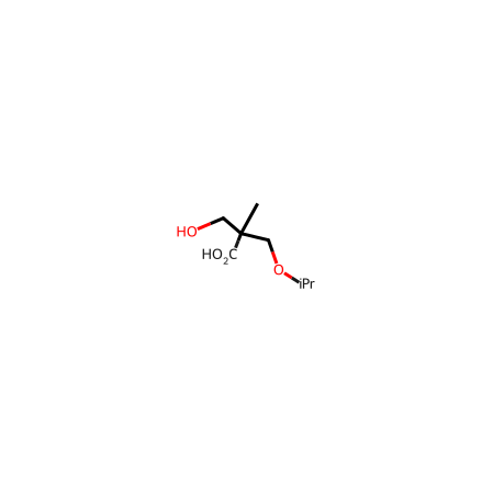 CC(C)OCC(C)(CO)C(=O)O